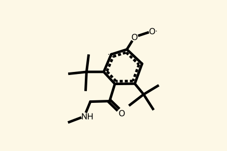 CNCC(=O)c1c(C(C)(C)C)[c]c(O[O])cc1C(C)(C)C